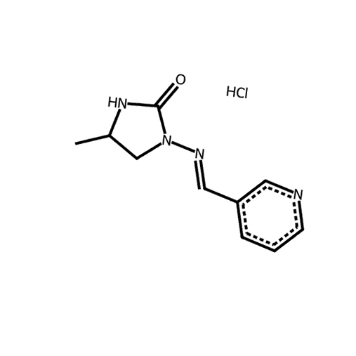 CC1CN(/N=C/c2cccnc2)C(=O)N1.Cl